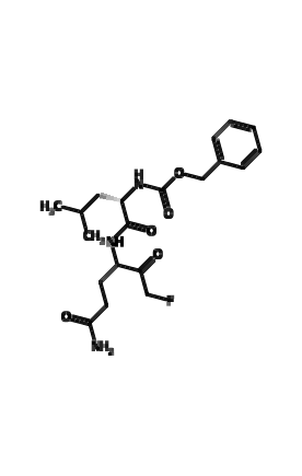 CC(C)C[C@H](NC(=O)OCc1ccccc1)C(=O)NC(CCC(N)=O)C(=O)CF